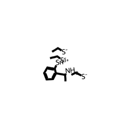 CC(N)c1cccc[c]1[Sn+3].CC[S-].CC[S-].CC[S-]